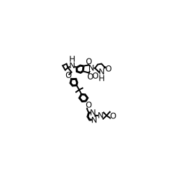 CC(C)(c1ccc(OCc2ccnc(N3CC4(COC4)C3)n2)cc1)c1ccc(OCC2(Nc3ccc4c(c3)C(=O)N(C3CCC(=O)NC3=O)C4=O)CCC2)cc1